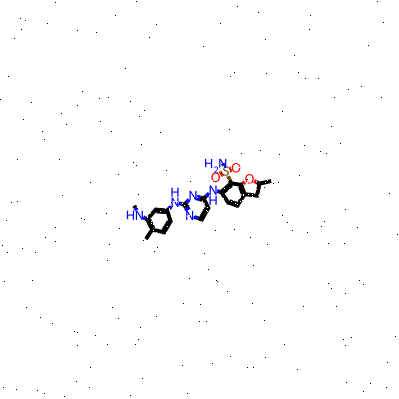 CNc1cc(Nc2nccc(Nc3ccc4c(c3S(N)(=O)=O)OC(C)C4)n2)ccc1C